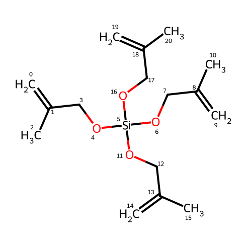 C=C(C)CO[Si](OCC(=C)C)(OCC(=C)C)OCC(=C)C